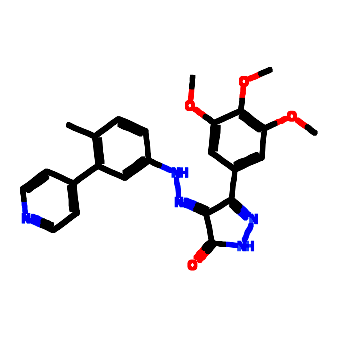 COc1cc(C2=NNC(=O)/C2=N/Nc2ccc(C)c(-c3ccncc3)c2)cc(OC)c1OC